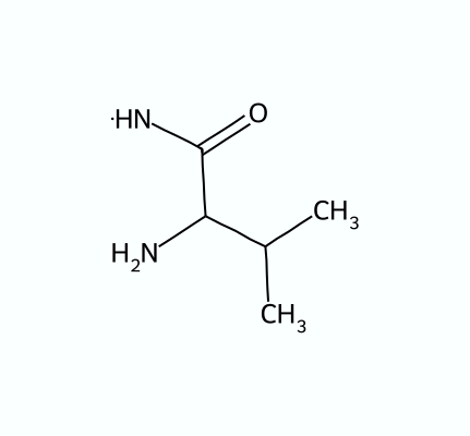 CC(C)C(N)C([NH])=O